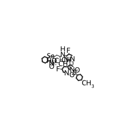 Cc1ccc(S(=O)(=O)n2cc(-c3ncc(F)c(NC(CC[Se]c4ccccc4[N+](=O)[O-])C(C)(C)C)n3)c3cc(F)cnc32)cc1